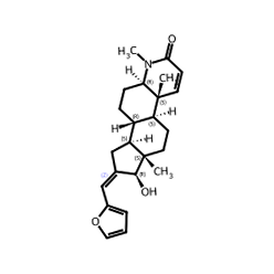 CN1C(=O)C=C[C@]2(C)[C@H]3CC[C@]4(C)[C@@H](O)/C(=C\c5ccco5)C[C@H]4[C@@H]3CC[C@@H]12